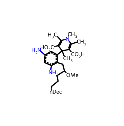 CCCCCCCCCCCCCC(Cc1c(N)cc(N)cc1C1(C)C(C(=O)O)=C(C)N(C)C(C)=C1C(=O)O)OC